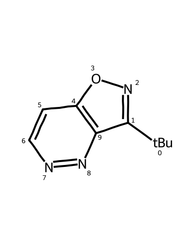 CC(C)(C)c1noc2ccnnc12